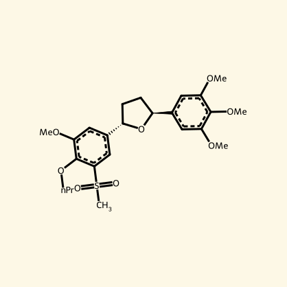 CCCOc1c(OC)cc([C@@H]2CC[C@@H](c3cc(OC)c(OC)c(OC)c3)O2)cc1S(C)(=O)=O